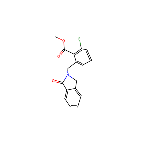 COC(=O)c1c(F)cccc1CN1Cc2ccccc2C1=O